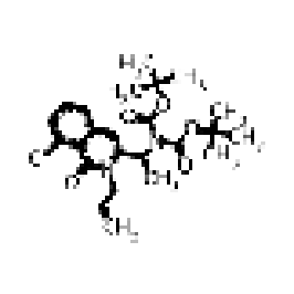 C=CCn1c(C(C)N(C(=O)OC(C)(C)C)C(=O)OC(C)(C)C)cc2cccc(Cl)c2c1=O